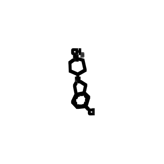 CN1CCC(N2Cc3ccc(Cl)cc3C2)CC1